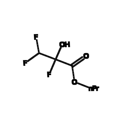 CCCOC(=O)C(O)(F)C(F)F